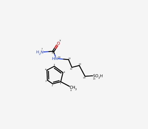 Cc1ccccc1.NC(=O)NCCCCS(=O)(=O)O